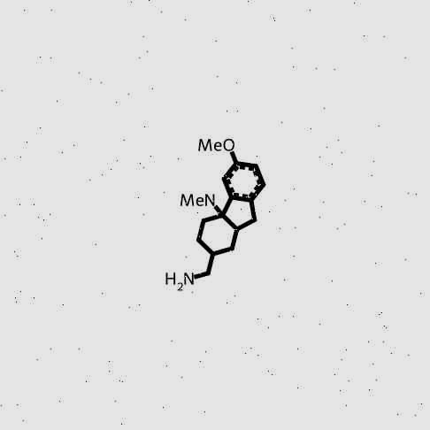 CNC12CCC(CN)CC1Cc1ccc(OC)cc12